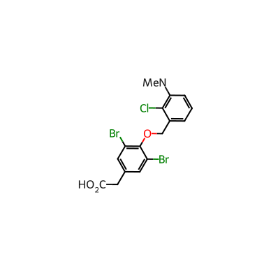 CNc1cccc(COc2c(Br)cc(CC(=O)O)cc2Br)c1Cl